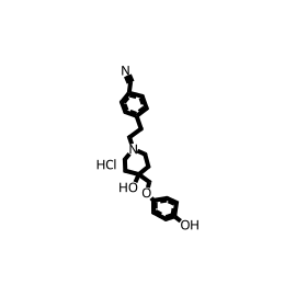 Cl.N#Cc1ccc(CCN2CCC(O)(COc3ccc(O)cc3)CC2)cc1